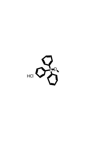 CO[PH](c1ccccc1)(c1ccccc1)c1ccccc1.Cl